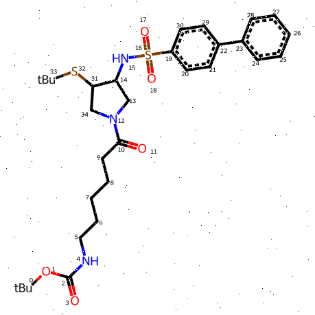 CC(C)(C)OC(=O)NCCCCCC(=O)N1CC(NS(=O)(=O)c2ccc(-c3ccccc3)cc2)C(SC(C)(C)C)C1